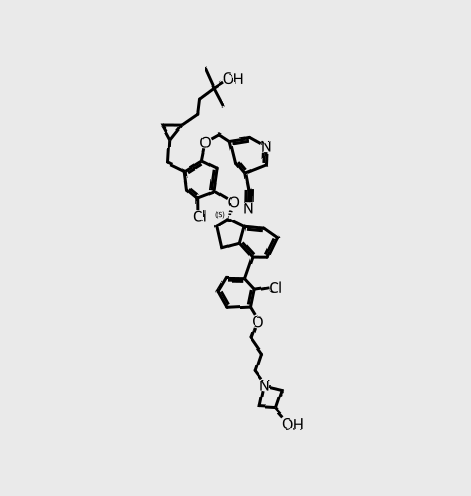 CC(C)(O)CCC1CC1Cc1cc(Cl)c(O[C@H]2CCc3c(-c4cccc(OCCCN5CC(O)C5)c4Cl)cccc32)cc1OCc1cncc(C#N)c1